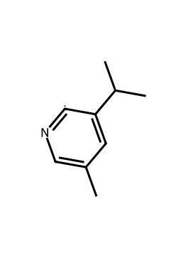 Cc1cn[c]c(C(C)C)c1